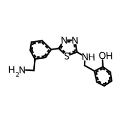 NCc1cccc(-c2nnc(NCc3ccccc3O)s2)c1